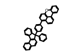 c1ccc(C2(c3ccc(-c4ccc5c6c(cccc46)-c4ccccc4O5)cc3)c3ccccc3-c3c2ccc2ccccc32)cc1